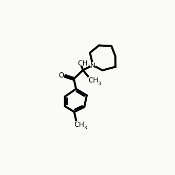 Cc1ccc(C(=O)C(C)(C)N2CCCCCC2)cc1